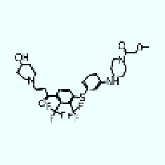 COCC(=O)N1CCC(Nc2cccc(Sc3ccc(C(=O)C=CN4CCC(O)CC4)c(C(F)(F)F)c3C(F)(F)F)c2)CC1